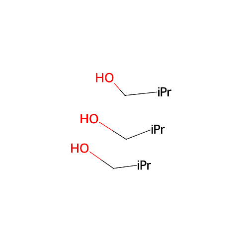 CC(C)CO.CC(C)CO.CC(C)CO